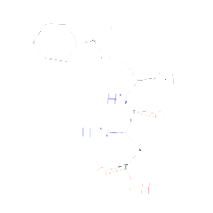 CC(COC(=O)C1CCCCC1)NC(=O)C(N)CC(=O)O